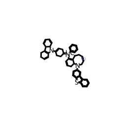 CC1C/C=C\CN(c2ccc3sc4ccccc4c3c2)C2CC=CC(N(c3ccccc3)C3CC=C(N4C5=C(CCC=C5)C5C=CC=CC54)CC3)=C12